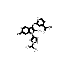 Cc1c(Sc2cc(C(=O)O)ccn2)c2ccc(Cl)cc2n1-c1cnn(C(C)C)c1